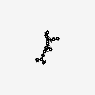 C1=CC2Oc3c(-c4ccc(-c5ccc(-c6cc(-c7ccccn7)cc(-c7ccccn7)c6)cc5)cc4)ccc(-c4ccc(-c5nc(-c6ccc(-c7ccccc7)cc6)nc(-c6ccc7oc8ccccc8c7c6)n5)cc4)c3OC2C=C1